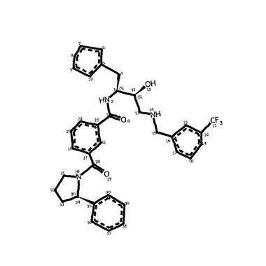 O=C(N[C@@H](Cc1ccccc1)[C@@H](O)CNCc1cccc(C(F)(F)F)c1)c1cccc(C(=O)N2CCC[C@@H]2c2ccccc2)c1